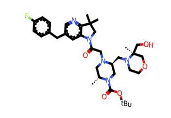 C[C@@H]1CN(CC(=O)N2CC(C)(C)c3ncc(Cc4ccc(F)cc4)cc32)[C@@H](CN2CCOC[C@]2(C)CO)CN1C(=O)OC(C)(C)C